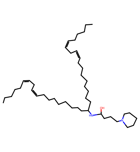 CCCCC/C=C\C/C=C\CCCCCCCCC(CCCCCCCC/C=C\C/C=C\CCCCC)NC(O)CCCN1CCCCC1